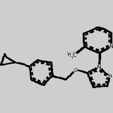 Cc1cccnc1-n1nccc1OCc1ccc(C2CC2)cc1